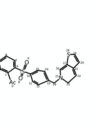 CC(=O)c1ccccc1S(=O)(=O)c1ccc(CN2C=c3sccc3=CC2)cc1